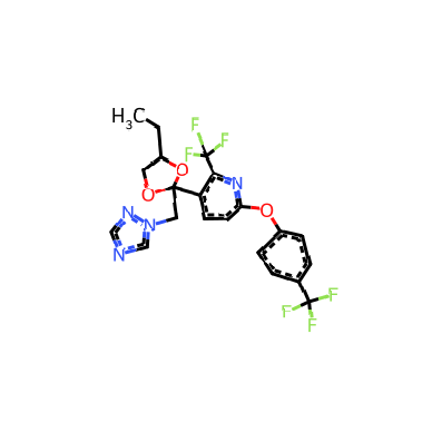 CCC1COC(Cn2cncn2)(c2ccc(Oc3ccc(C(F)(F)F)cc3)nc2C(F)(F)F)O1